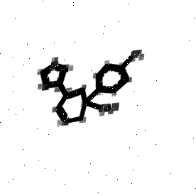 O=C(O)C1(c2ccc(C(F)(F)F)cc2)C=C(c2ncon2)C=NC1